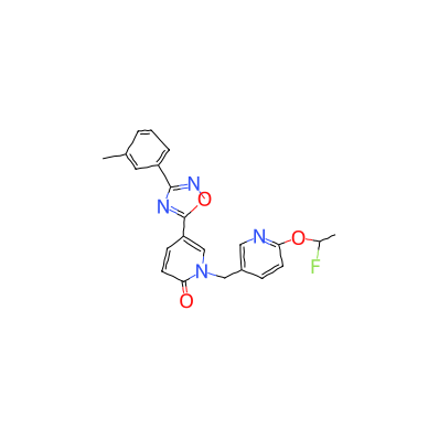 Cc1cccc(-c2noc(-c3ccc(=O)n(Cc4ccc(OC(C)F)nc4)c3)n2)c1